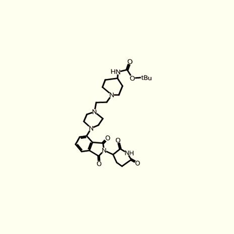 CC(C)(C)OC(=O)NC1CCN(CCN2CCN(c3cccc4c3C(=O)N(C3CCC(=O)NC3=O)C4=O)CC2)CC1